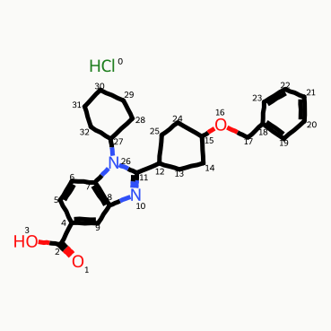 Cl.O=C(O)c1ccc2c(c1)nc(C1CCC(OCc3ccccc3)CC1)n2C1CCCCC1